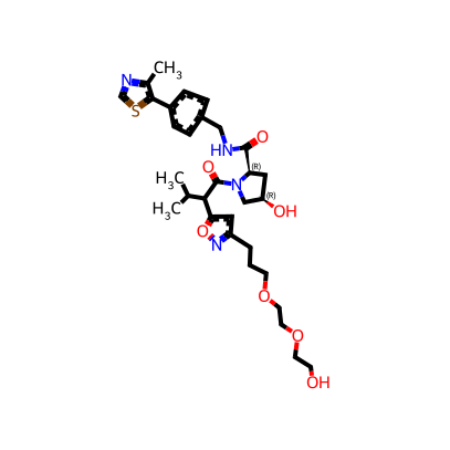 Cc1ncsc1-c1ccc(CNC(=O)[C@H]2C[C@@H](O)CN2C(=O)C(c2cc(CCCOCCOCCO)no2)C(C)C)cc1